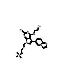 C[Si](C)(C)CCOCn1cc(-c2ccc3nccn3c2)c2c(OCCO)nc(Cl)nc21